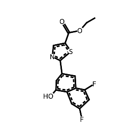 CCOC(=O)c1cnc(-c2cc(O)c3cc(F)cc(F)c3c2)s1